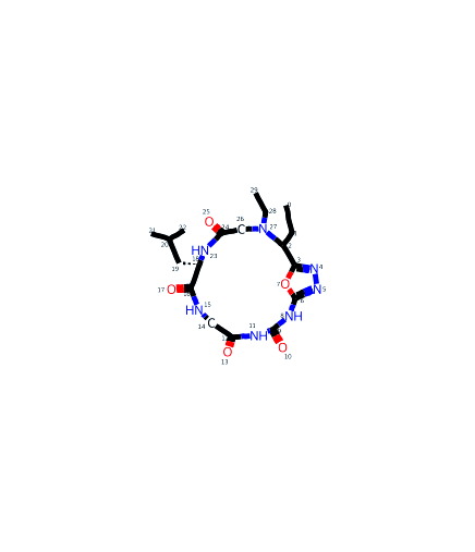 CCC1c2nnc(o2)NC(=O)NC(=O)CNC(=O)[C@H](CC(C)C)NC(=O)CN1CC